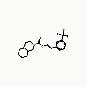 O=C(OCCc1cccc(C(F)(F)F)c1)N1CCN2CCCCC2C1